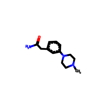 CN1CCN(c2cccc(CC(N)=O)c2)CC1